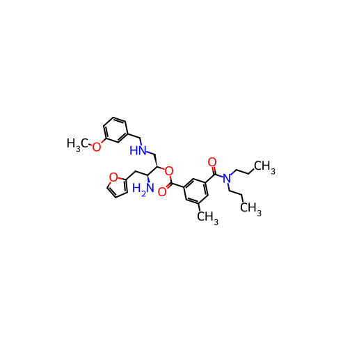 CCCN(CCC)C(=O)c1cc(C)cc(C(=O)O[C@H](CNCc2cccc(OC)c2)[C@@H](N)Cc2ccco2)c1